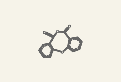 O=C1OC(=O)c2ccccc2Oc2ccccc21